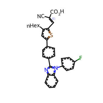 CCCCCCc1cc(-c2ccc(-c3nc4ccccc4n3-c3ccc(F)cc3)cc2)sc1/C=C(\C#N)C(=O)O